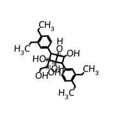 CCc1ccc(C2C(O)[C@@]3(O)C(c4ccc(CC)c(CC)c4)[C@@](O)([C@H](O)CO)[C@@]23O)cc1CC